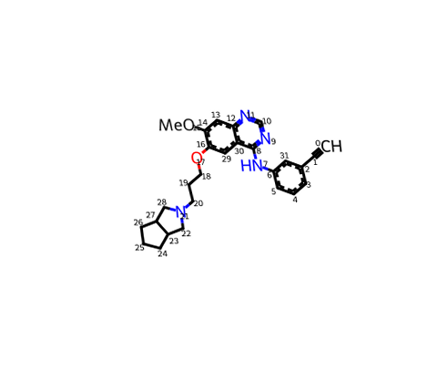 C#Cc1cccc(Nc2ncnc3cc(OC)c(OCCCN4CC5CCCC5C4)cc23)c1